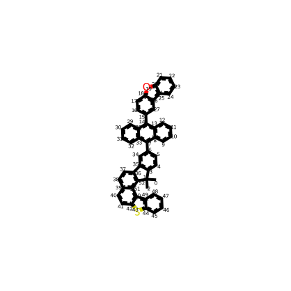 CC1(C)c2ccc(-c3c4ccccc4c(-c4ccc5oc6ccccc6c5c4)c4ccccc34)cc2-c2ccc3ccc4sc5ccccc5c4c3c21